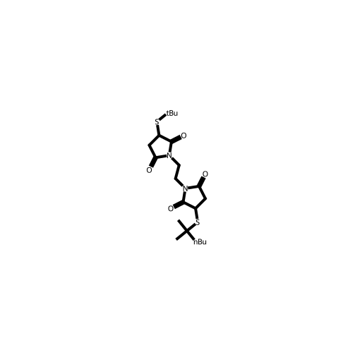 CCCCC(C)(C)SC1CC(=O)N(CCN2C(=O)CC(SC(C)(C)C)C2=O)C1=O